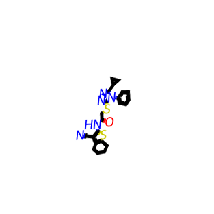 N#Cc1c(NC(=O)CSc2nnc(C3CC3)n2-c2ccccc2)sc2c1CCCC2